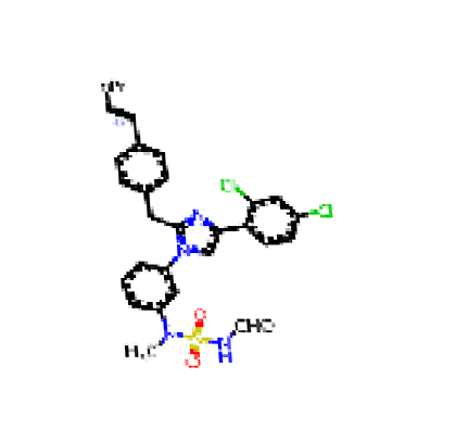 CCC/C=C/c1ccc(Cc2nc(-c3ccc(Cl)cc3Cl)cn2-c2cccc(N(C)S(=O)(=O)NC=O)c2)cc1